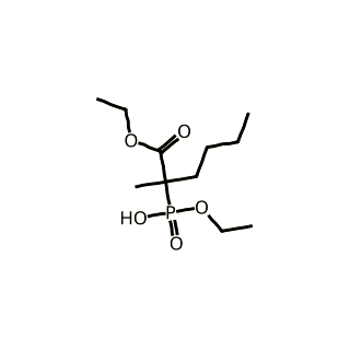 CCCCC(C)(C(=O)OCC)P(=O)(O)OCC